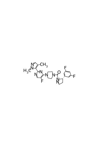 Cc1cnn(C)c1-c1ncc(F)c(N2CCN(C(=O)N3N=CC[C@H]3c3cc(F)cc(F)c3)CC2)n1